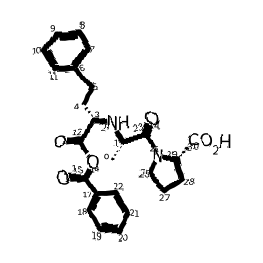 C[C@H](N[C@@H](CCc1ccccc1)C(=O)OC(=O)c1ccccc1)C(=O)N1CCC[C@H]1C(=O)O